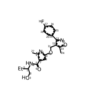 CCC(CO)NC(=O)c1cc(OCc2c(-c3ccc(F)cc3)noc2C)nn1C